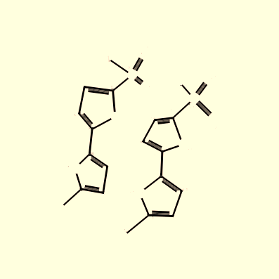 Cc1ccc(-c2ccc(S(=O)(=O)Cl)s2)o1.Cc1ccc(-c2ccc(S(=O)(=O)Cl)s2)o1